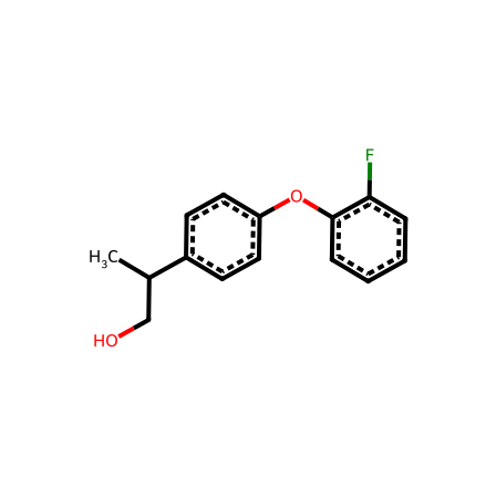 CC(CO)c1ccc(Oc2ccccc2F)cc1